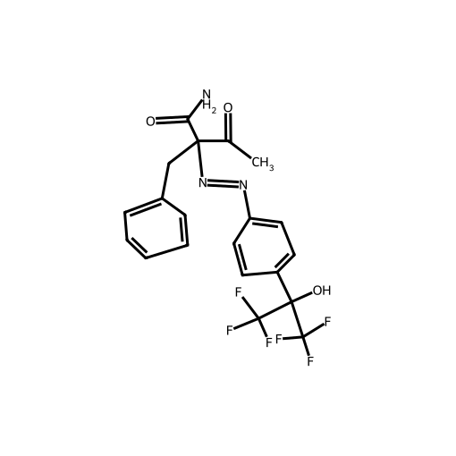 CC(=O)C(Cc1ccccc1)(N=Nc1ccc(C(O)(C(F)(F)F)C(F)(F)F)cc1)C(N)=O